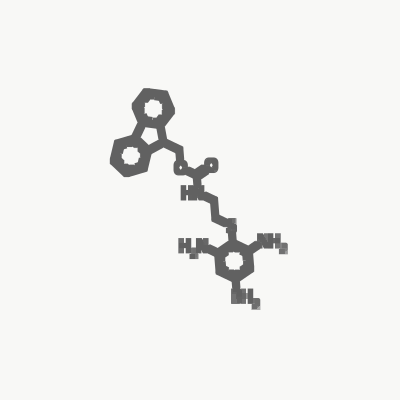 Bc1cc(N)c(SCCNC(=O)OCC2c3ccccc3-c3ccccc32)c(N)c1